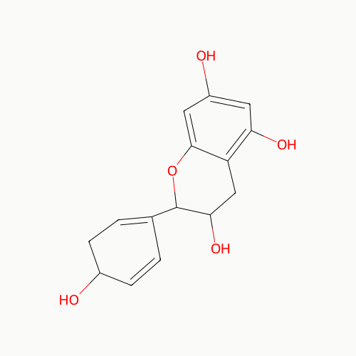 Oc1cc(O)c2c(c1)OC(C1=CCC(O)C=C1)C(O)C2